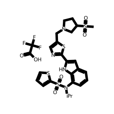 CC(C)N(c1cccc2cc(-c3ncc(CN4CCC(S(C)(=O)=O)C4)s3)[nH]c12)S(=O)(=O)c1cccs1.O=C(O)C(F)(F)F